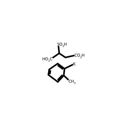 Cc1cccc[c]1[K].O=C(O)CC(C(=O)O)S(=O)(=O)O